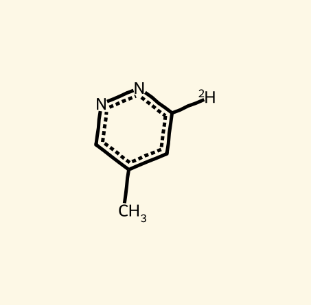 [2H]c1cc(C)cnn1